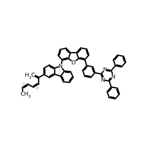 C=C(/C=C\C=C/C)c1ccc2c(c1)c1ccccc1n2-c1cccc2c1oc1c(-c3cccc(-c4nc(-c5ccccc5)nc(-c5ccccc5)n4)c3)cccc12